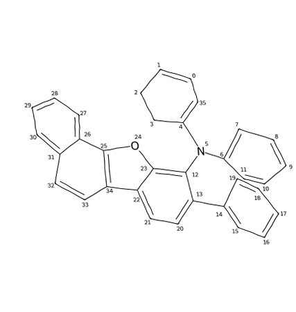 C1=CCCC(N(c2ccccc2)c2c(-c3ccccc3)ccc3c2oc2c4ccccc4ccc32)=C1